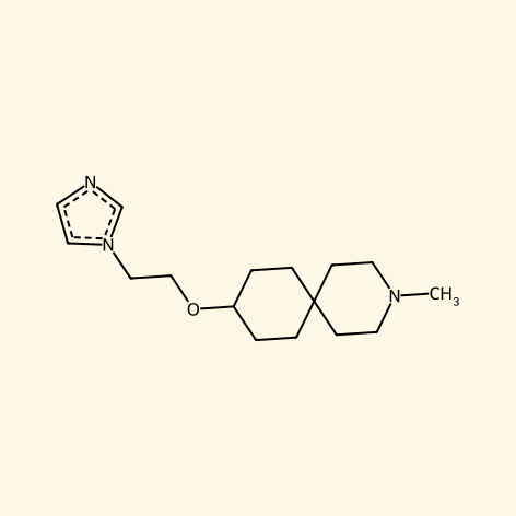 CN1CCC2(CCC(OCCn3ccnc3)CC2)CC1